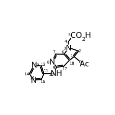 CC(=O)c1cn(CC(=O)O)c2cnc(Nc3cncnc3)cc12